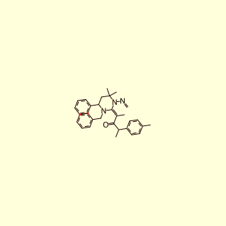 C=NN1/C(=C(\C)C(=O)C(C)c2ccc(C)cc2)N(Cc2ccccc2)C(c2ccccc2)CC1(C)C